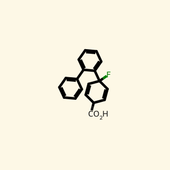 O=C(O)C1C=CC(F)(c2ccccc2-c2ccccc2)C=C1